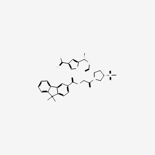 C[C@@H](NC(=O)[C@@H]1C[C@@H](S(C)(=O)=O)CN1C(=O)CNC(=O)c1ccc2c(c1)-c1ccccc1C2(C)C)c1cc(C(=N)N)cs1